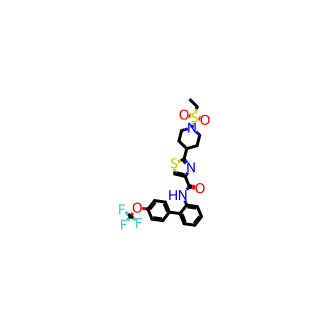 CCS(=O)(=O)N1CCC(c2nc(C(=O)Nc3ccccc3-c3ccc(OC(F)(F)F)cc3)cs2)CC1